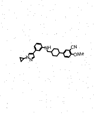 COc1ccc(C2CCC(CNc3cccc(-c4cnn(C5CC5)c4)c3)CC2)cc1C#N